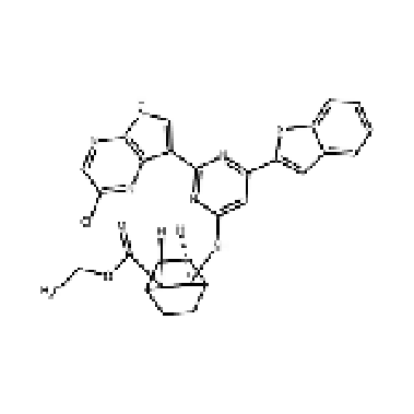 CCOC(=O)[C@H]1C2CCC(CC2)[C@@H]1Nc1cc(-c2cc3ccccc3s2)nc(-c2c[nH]c3ncc(Cl)nc23)n1